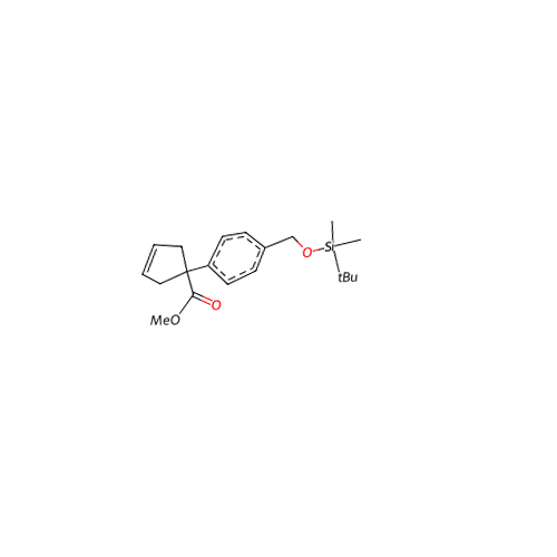 COC(=O)C1(c2ccc(CO[Si](C)(C)C(C)(C)C)cc2)CC=CC1